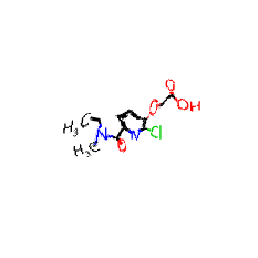 CCN(C)C(=O)c1ccc(OCC(=O)O)c(Cl)n1